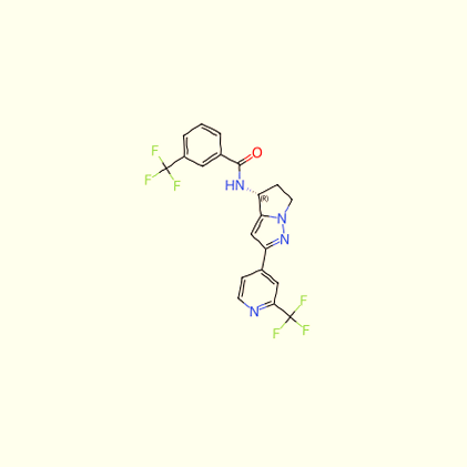 O=C(N[C@@H]1CCn2nc(-c3ccnc(C(F)(F)F)c3)cc21)c1cccc(C(F)(F)F)c1